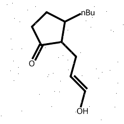 CCCCC1CCC(=O)C1CC=CO